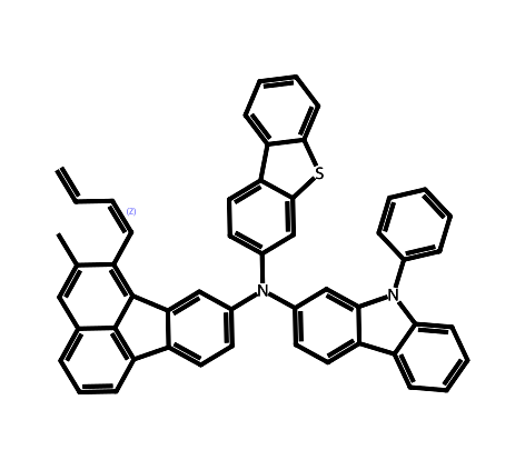 C=C/C=C\c1c(C)cc2cccc3c2c1-c1cc(N(c2ccc4c(c2)sc2ccccc24)c2ccc4c5ccccc5n(-c5ccccc5)c4c2)ccc1-3